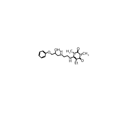 CCc1c(NCCNCC(O)COc2ccccc2)n(C)c(=O)n(C)c1=O